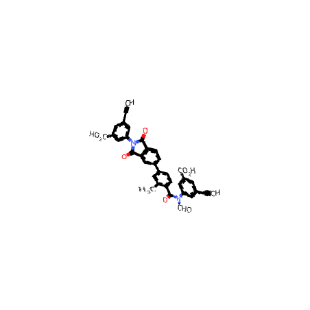 C#Cc1cc(C(=O)O)cc(N(C=O)C(=O)c2ccc(-c3ccc4c(c3)C(=O)N(c3cc(C#C)cc(C(=O)O)c3)C4=O)cc2C)c1